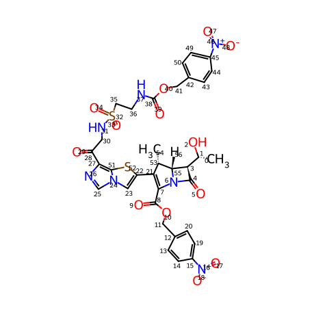 C[C@@H](O)[C@H]1C(=O)N2C(C(=O)OCc3ccc([N+](=O)[O-])cc3)=C(c3cn4cnc(C(=O)CNS(=O)(=O)CCNC(=O)OCc5ccc([N+](=O)[O-])cc5)c4s3)[C@H](C)[C@H]12